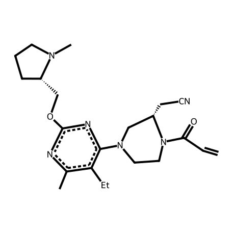 C=CC(=O)N1CCN(c2nc(OC[C@@H]3CCCN3C)nc(C)c2CC)C[C@@H]1CC#N